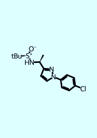 C[C@H](N[S@+]([O-])C(C)(C)C)c1ccn(-c2ccc(Cl)cc2)n1